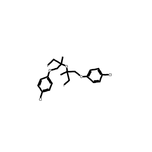 CC(CI)(COc1ccc(Cl)cc1)OC(C)(CI)COc1ccc(Cl)cc1